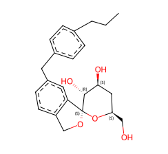 CCCc1ccc(Cc2ccc3c(c2)[C@]2(OC3)O[C@H](CO)C[C@H](O)[C@H]2O)cc1